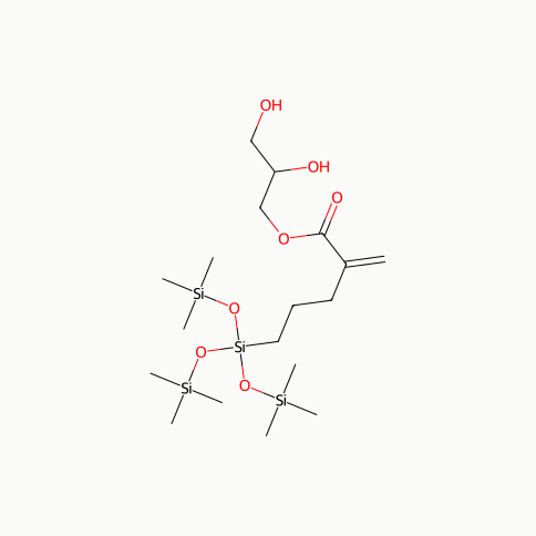 C=C(CCC[Si](O[Si](C)(C)C)(O[Si](C)(C)C)O[Si](C)(C)C)C(=O)OCC(O)CO